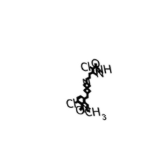 CN1Cc2c(CC3CC4(C3)CN(CCCc3cn[nH]c(=O)c3Cl)C4)ccc(Cl)c2C1=O